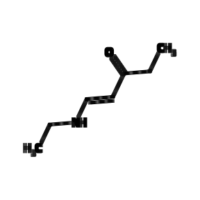 CCN/C=C/C(=O)CC